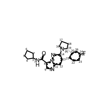 O=C(NC1CCCC1)c1cnc2ccc(N3CCC[C@@H]3c3cccc(F)c3)nn12